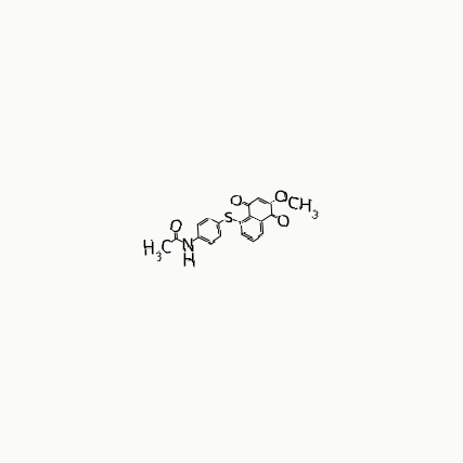 COC1=CC(=O)c2c(Sc3ccc(NC(C)=O)cc3)cccc2C1=O